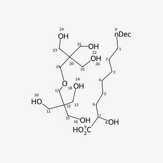 CCCCCCCCCCCCCCCCC(O)C(=O)O.OCC(CO)(CO)COCC(CO)(CO)CO